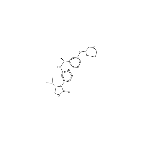 CC(C)[C@H]1COC(=O)N1c1ccnc(N[C@@H](C)c2cccc(OC3CCCOC3)c2)n1